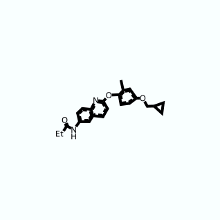 CCC(=O)Nc1ccc2nc(Oc3ccc(OCC4CC4)cc3C)ccc2c1